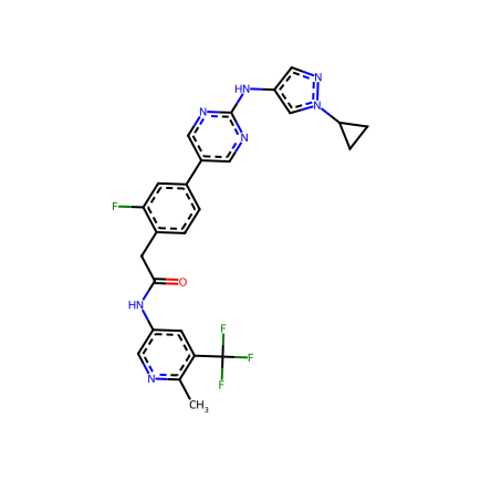 Cc1ncc(NC(=O)Cc2ccc(-c3cnc(Nc4cnn(C5CC5)c4)nc3)cc2F)cc1C(F)(F)F